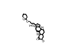 C[C@]12CC=C3[C@H]4C(CC[C@H]3[C@@H]1CC[C@@]2(O)C=CCOC1CCCCO1)CC(=O)C1OC14